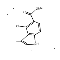 COC(=O)c1ccc2[nH]cc(C)c2c1Cl